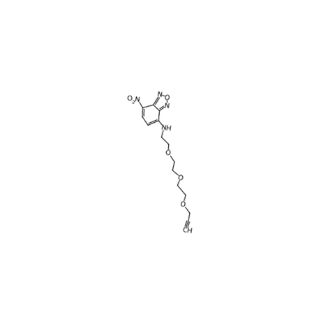 C#CCOCCOCCOCCNc1ccc([N+](=O)[O-])c2nonc12